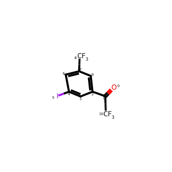 O=C(c1cc(I)cc(C(F)(F)F)c1)C(F)(F)F